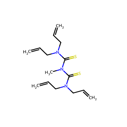 C=CCN(CC=C)C(=S)N(C)C(=S)N(CC=C)CC=C